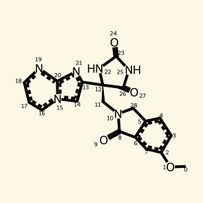 COc1ccc2c(c1)C(=O)N(C[C@@]1(c3cn4cccnc4n3)NC(=O)NC1=O)C2